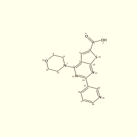 O=C(O)c1cc2c(N3CCOCC3)nc(-c3cccnc3)nc2s1